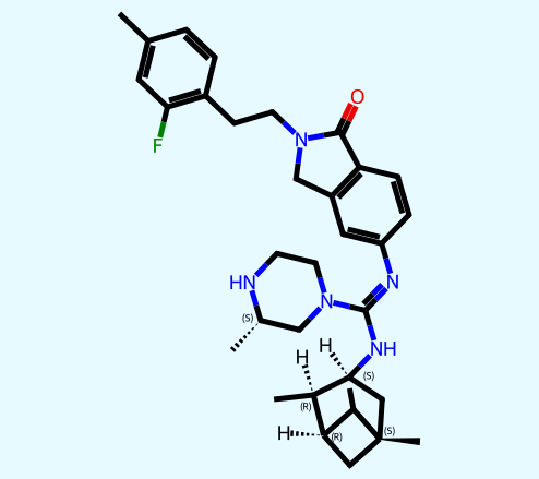 Cc1ccc(CCN2Cc3cc(N=C(N[C@H]4C[C@]5(C)C[C@H](C5C)[C@H]4C)N4CCN[C@@H](C)C4)ccc3C2=O)c(F)c1